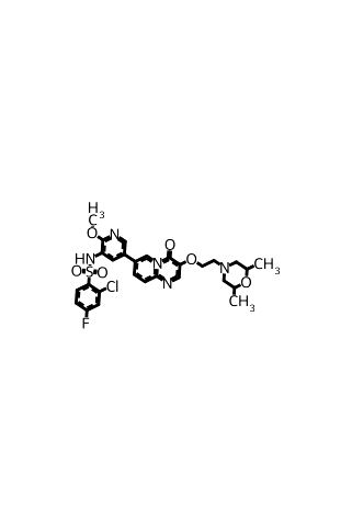 COc1ncc(-c2ccc3ncc(OCCN4CC(C)OC(C)C4)c(=O)n3c2)cc1NS(=O)(=O)c1ccc(F)cc1Cl